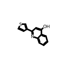 Oc1cc(-c2ccsc2)nc2ccccc12